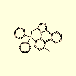 Cc1ccc2c3c1c1ccccc1c1ncc(n13)CS2(c1ccccc1)c1ccccc1